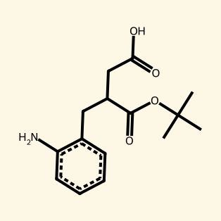 CC(C)(C)OC(=O)C(CC(=O)O)Cc1ccccc1N